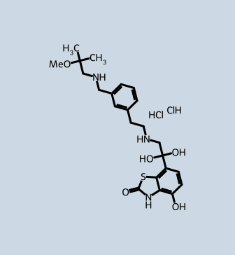 COC(C)(C)CNCc1cccc(CCNCC(O)(O)c2ccc(O)c3[nH]c(=O)sc23)c1.Cl.Cl